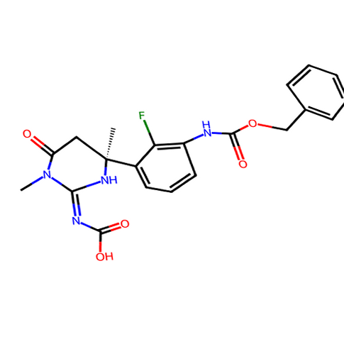 CN1C(=O)C[C@@](C)(c2cccc(NC(=O)OCc3ccccc3)c2F)N/C1=N\C(=O)O